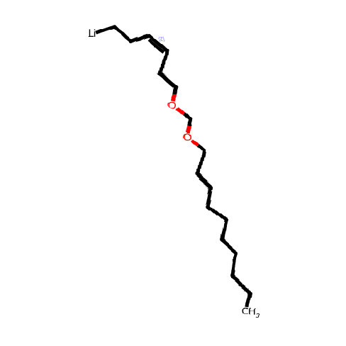 [Li][CH2]C/C=C\CCOCOCCCCCCCCCC